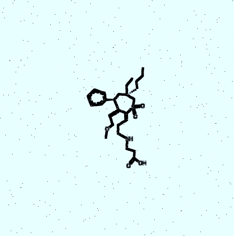 CCCC[C@@]1(CC)C[C@H](c2ccccc2)C(=C/COC)/C(=C\CCNCCC(=O)O)S(=O)(=O)C1